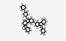 c1ccc(-c2ccc(-n3c4ccc(-c5ccc6c(c5)c5ccccc5n6-c5ccccc5)cc4c4c5c(ccc43)oc3ccccc35)cc2)cc1